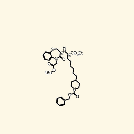 CCOC(=O)[C@H](CCCCCCC1CCN(C(=O)OCc2ccccc2)CC1)N[C@H]1CSc2ccccc2N(CC(=O)OC(C)(C)C)C1=O